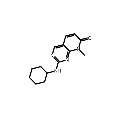 Cn1c(=O)ccc2cnc(NC3CCCCC3)nc21